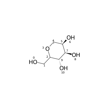 OCC1O[CH][C@@H](O)[C@@H](O)[C@@H]1O